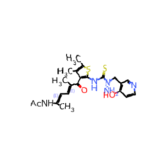 CC(=O)N/C(C)=C/C=C(\C)C(=O)c1c(NC(=S)N(N)Cc2cnccc2O)sc(C)c1C